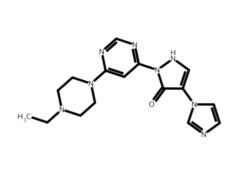 CCN1CCN(c2cc(-n3[nH]cc(-n4ccnc4)c3=O)ncn2)CC1